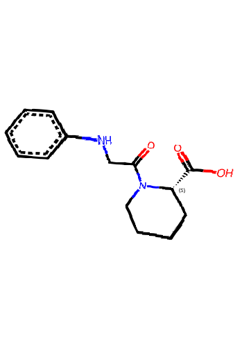 O=C(O)[C@@H]1CCCCN1C(=O)CNc1ccccc1